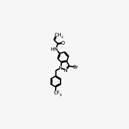 C=CC(=O)Nc1ccc2c(Br)nn(Cc3ccc(C(F)(F)F)cc3)c2c1